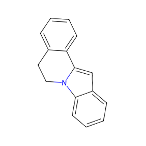 c1ccc2c(c1)CCn1c-2cc2ccccc21